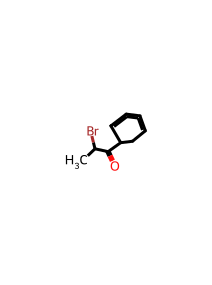 CC(Br)C(=O)C1C=C=C=CC1